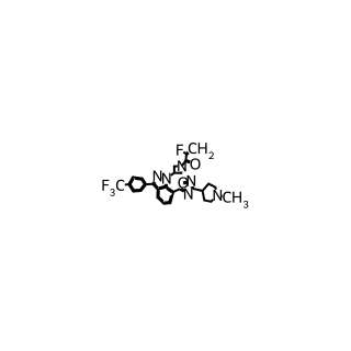 C=C(F)C(=O)N1CC(n2nc(-c3ccc(C(F)(F)F)cc3)c3cccc(-c4nc(C5CCN(C)CC5)no4)c32)C1